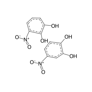 O=[N+]([O-])c1ccc(O)c(O)c1.O=[N+]([O-])c1cccc(O)c1O